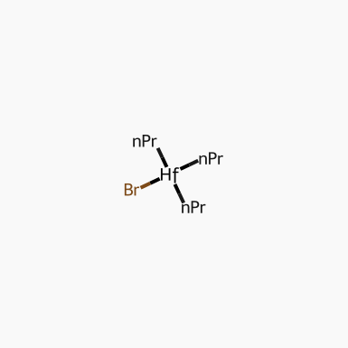 CC[CH2][Hf]([Br])([CH2]CC)[CH2]CC